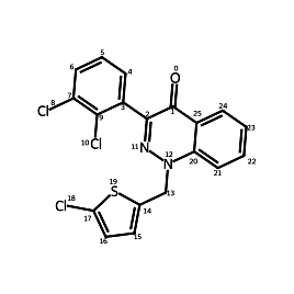 O=c1c(-c2cccc(Cl)c2Cl)nn(Cc2ccc(Cl)s2)c2ccccc12